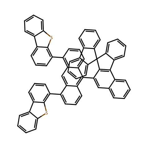 c1ccc2c(c1)-c1ccccc1C21c2ccccc2-c2c1c(-c1c3cccc(-c4cccc5c4sc4ccccc45)c3cc3c(-c4cccc5c4sc4ccccc45)cccc13)cc1ccccc21